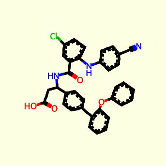 N#Cc1ccc(Nc2ccc(Cl)cc2C(=O)NC(CC(=O)O)c2ccc(-c3ccccc3Oc3ccccc3)cc2)cc1